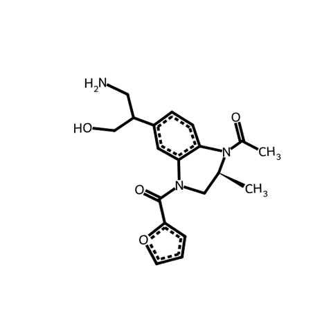 CC(=O)N1c2ccc(C(CN)CO)cc2N(C(=O)c2ccco2)C[C@@H]1C